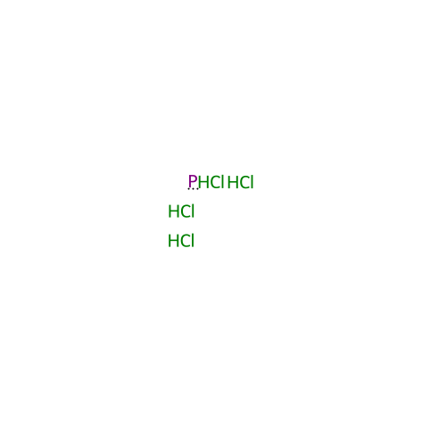 Cl.Cl.Cl.Cl.[P]